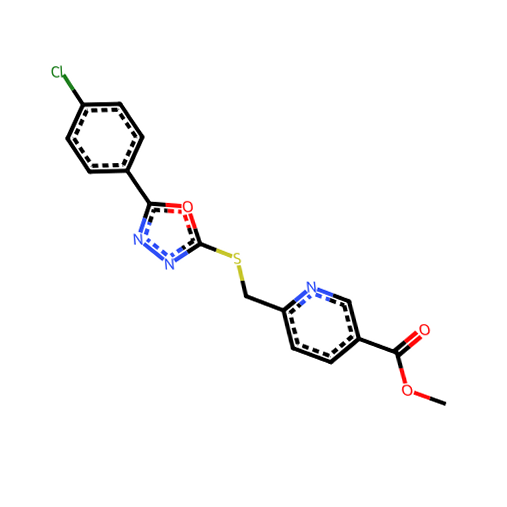 COC(=O)c1ccc(CSc2nnc(-c3ccc(Cl)cc3)o2)nc1